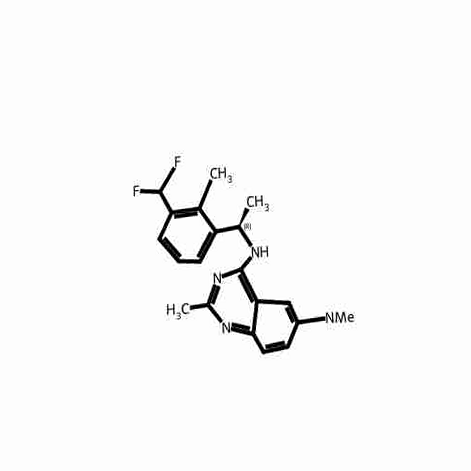 CNc1ccc2nc(C)nc(N[C@H](C)c3cccc(C(F)F)c3C)c2c1